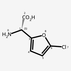 N[C@H](C(=O)O)c1ccc(Cl)o1